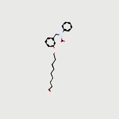 O=CCCCCCCCCOc1cccc(CN(C(=O)O)c2ccccc2)c1